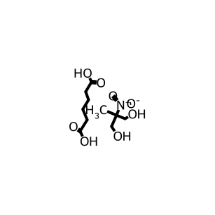 CC(CO)(CO)[N+](=O)[O-].O=C(O)CCCCC(=O)O